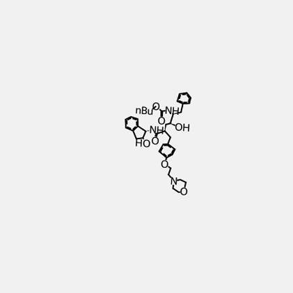 CCCCOC(=O)N[C@@H](Cc1ccccc1)[C@@H](O)C[C@@H](Cc1ccc(OCCN2CCOCC2)cc1)C(=O)N[C@H]1c2ccccc2C[C@H]1O